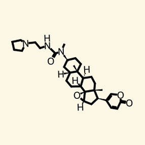 CN(C(=O)NCCN1CCCC1)[C@H]1CC[C@@]2(C)[C@H](CC[C@@H]3[C@@H]2CC[C@]2(C)[C@@H](c4ccc(=O)oc4)C[C@H]4O[C@]342)C1